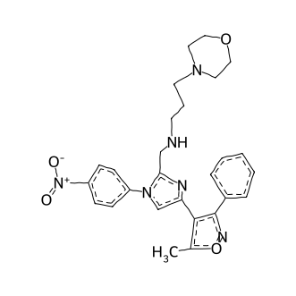 Cc1onc(-c2ccccc2)c1-c1cn(-c2ccc([N+](=O)[O-])cc2)c(CNCCCN2CCOCC2)n1